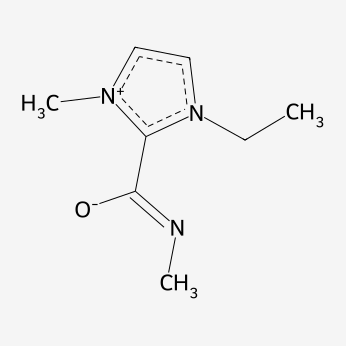 CCn1cc[n+](C)c1/C([O-])=N/C